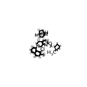 CN1CCC[C@H]1COc1nc2c(c([C@H]3C[C@H]4CC[C@@H](C3)N4)n1)CCN(c1cccc3ccc(F)c(Cl)c13)C2